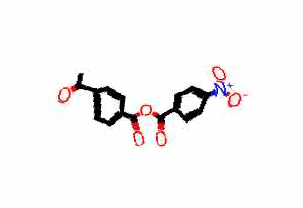 CC(=O)c1ccc(C(=O)OC(=O)c2ccc([N+](=O)[O-])cc2)cc1